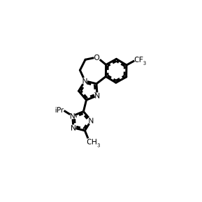 Cc1nc(-c2cn3c(n2)-c2ccc(C(F)(F)F)cc2OCC3)n(C(C)C)n1